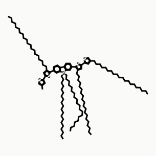 CCCCCCCCCCCCCCCCCCCCc1csc(-c2cc(CCCCCCCCCCCCCCCCCCCC)c(-c3ccc4c(c3)[Si](CCCCCCCCCCCCCCCCCCCC)(CCCCCCCCCCCCCCCCCCCC)c3cc(-c5sc(-c6cc(C)cs6)cc5CCCCCCCCCCCCCCCCCCCC)ccc3-4)s2)c1